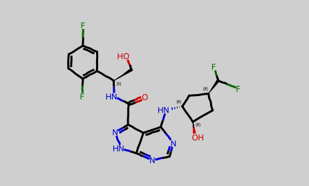 O=C(N[C@H](CO)c1cc(F)ccc1F)c1n[nH]c2ncnc(N[C@@H]3C[C@@H](C(F)F)C[C@H]3O)c12